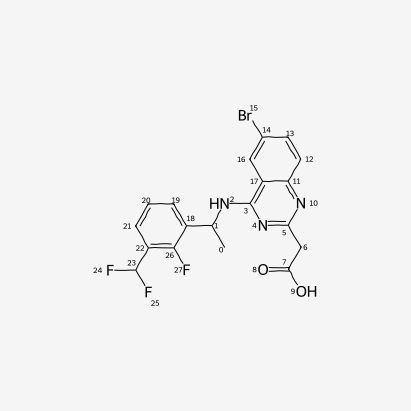 CC(Nc1nc(CC(=O)O)nc2ccc(Br)cc12)c1cccc(C(F)F)c1F